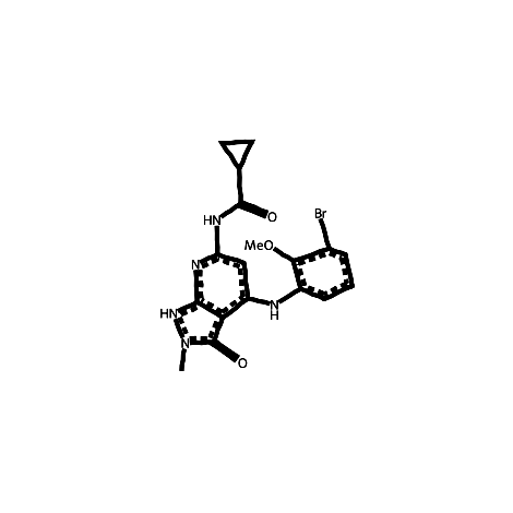 COc1c(Br)cccc1Nc1cc(NC(=O)C2CC2)nc2[nH]n(C)c(=O)c12